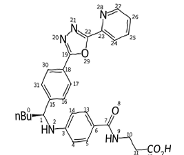 CCCC[C@H](Nc1ccc(C(=O)NCCC(=O)O)cc1)c1ccc(-c2nnc(-c3ccccn3)o2)cc1